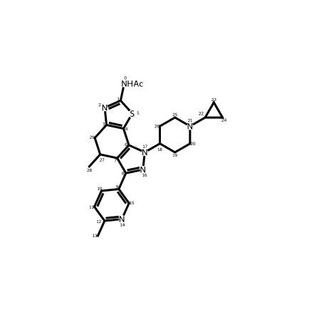 CC(=O)Nc1nc2c(s1)-c1c(c(-c3ccc(C)nc3)nn1C1CCN(C3CC3)CC1)C(C)C2